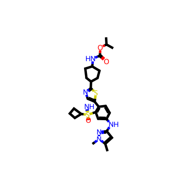 Cc1cc(Nc2ccc(-c3cnc(C4CCC(NC(=O)OC(C)C)CC4)s3)c(S(=N)(=O)C3CCC3)c2)nn1C